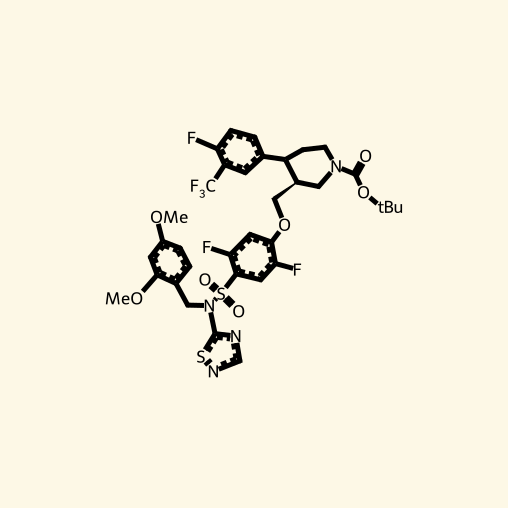 COc1ccc(CN(c2ncns2)S(=O)(=O)c2cc(F)c(OC[C@@H]3CN(C(=O)OC(C)(C)C)CCC3c3ccc(F)c(C(F)(F)F)c3)cc2F)c(OC)c1